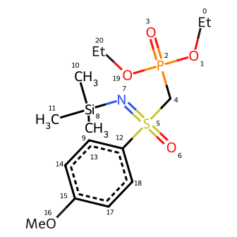 CCOP(=O)(CS(=O)(=N[Si](C)(C)C)c1ccc(OC)cc1)OCC